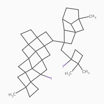 CC12CCC3C1C1(C2)CC(CC2(I)CCC2(C)C)(C2CC45CCC46CC47CC89CC%10(C)CCC%108C8(I)CC%10(CC25C64%10)C897)C31